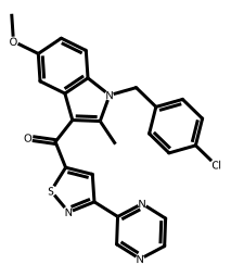 COc1ccc2c(c1)c(C(=O)c1cc(-c3cnccn3)ns1)c(C)n2Cc1ccc(Cl)cc1